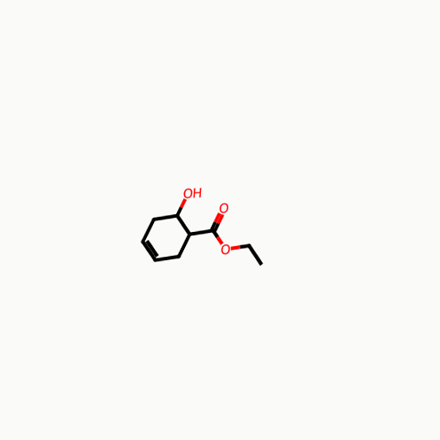 CCOC(=O)C1CC=CCC1O